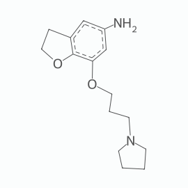 Nc1cc2c(c(OCCCN3CCCC3)c1)OCC2